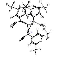 N#CC(=C1C(=C(\C#N)c2c(F)c(C(F)(F)F)nc(C(F)(F)F)c2F)/C1=C(\C#N)c1c(F)c(C(F)(F)F)nc(C(F)(F)F)c1F)c1c(F)c(F)nc(C(F)(F)F)c1F